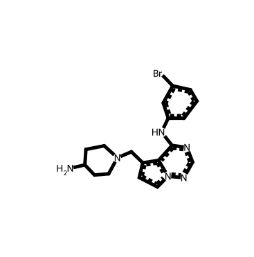 NC1CCN(Cc2ccn3ncnc(Nc4cccc(Br)c4)c23)CC1